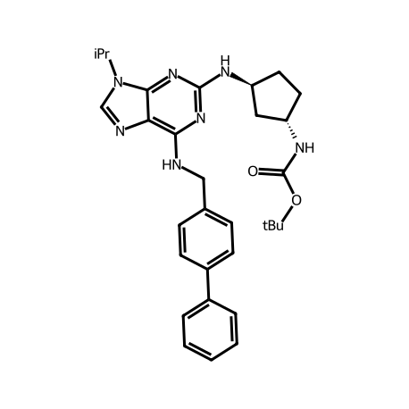 CC(C)n1cnc2c(NCc3ccc(-c4ccccc4)cc3)nc(N[C@H]3CC[C@H](NC(=O)OC(C)(C)C)C3)nc21